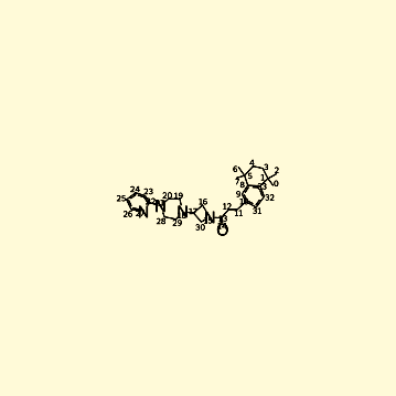 CC1(C)CCC(C)(C)c2cc(CCC(=O)N3CC(N4CCN(c5ccccn5)CC4)C3)ccc21